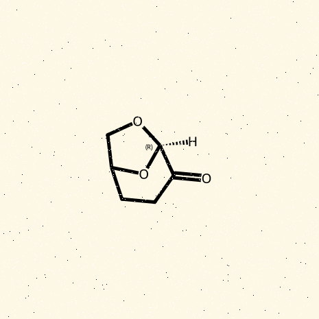 O=C1CCC2CO[C@@H]1O2